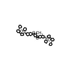 Cc1c2oc3cc4cc(N(c5ccccc5)c5cccc6c5oc5c(-c7ccccc7)cccc56)ccc4cc3c2cc2oc3cc4cc(N(c5ccccc5)c5cccc6c5oc5c(-c7ccccc7)cccc56)ccc4cc3c12